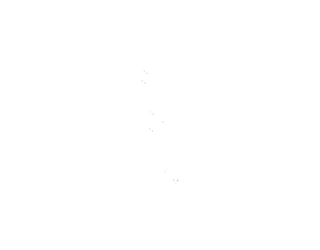 COC(=O)[C@@H](C)CCCCNC(=O)NCCCC1(C)NN1